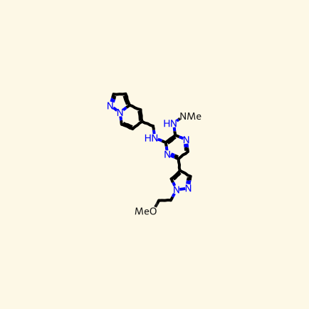 CNNc1ncc(-c2cnn(CCOC)c2)nc1NCc1ccn2nccc2c1